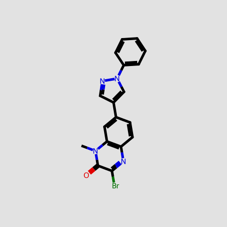 Cn1c(=O)c(Br)nc2ccc(-c3cnn(-c4ccccc4)c3)cc21